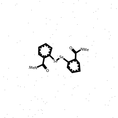 CNC(=O)c1ccccc1[Se][Se]c1ccccc1C(=O)NC